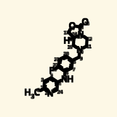 Cc1ccc(Nc2cc(CN3CCN4C(=O)OC[C@H]4C3)ccc2F)cn1